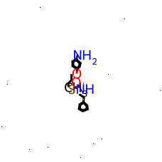 CCC(COc1ccc(N)cc1)OC(=S)NCCc1ccccc1